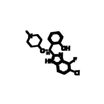 CN1CCC(O[C@@H](c2nc3c(F)c(Cl)ccc3[nH]2)c2ccccc2O)CC1